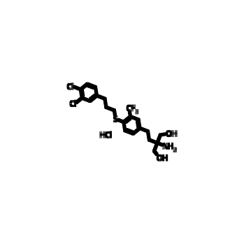 Cl.NC(CO)(CO)CCc1ccc(SCCCc2ccc(Cl)c(Cl)c2)c(C(F)(F)F)c1